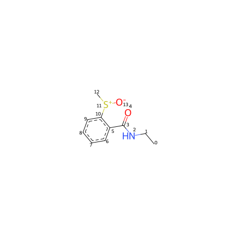 CCNC(=O)c1ccccc1[S+](C)[O-]